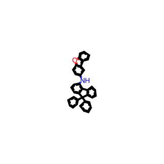 c1ccc(C2(c3ccccc3)c3ccccc3-c3c(Nc4ccc5oc6ccccc6c5c4)cccc32)cc1